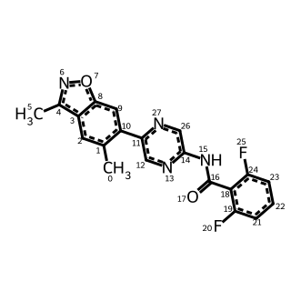 Cc1cc2c(C)noc2cc1-c1cnc(NC(=O)c2c(F)cccc2F)cn1